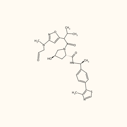 Cc1ncsc1-c1ccc([C@H](C)NC(=O)[C@@H]2C[C@@H](O)CN2C(=O)C(c2cc(N(C)CC=O)no2)C(C)C)cc1